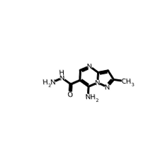 Cc1cc2ncc(C(=O)NN)c(N)n2n1